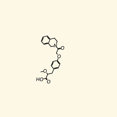 COC(Cc1ccc(OCC(=O)N2CCc3ccccc3C2)cc1)C(=O)O